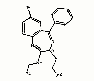 CC(=O)CC[C@@H]1N=C(c2ccccn2)c2cc(Br)ccc2N=C1NCC(C)=O